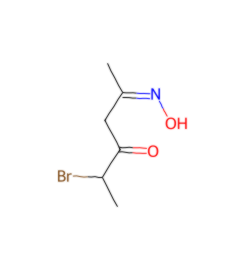 CC(CC(=O)C(C)Br)=NO